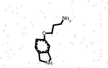 NCCCOc1ccc2c(c1)CNC2